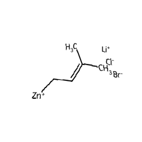 CC(C)=C[CH2][Zn+].[Br-].[Cl-].[Li+]